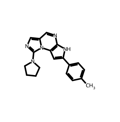 Cc1ccc(-c2cc3c(ncc4cnc(N5CCCC5)n43)[nH]2)cc1